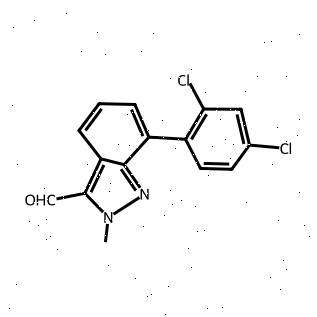 Cn1nc2c(-c3ccc(Cl)cc3Cl)cccc2c1C=O